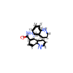 NC(=O)c1ccc2ncccc2c1.c1ccc2ncccc2c1